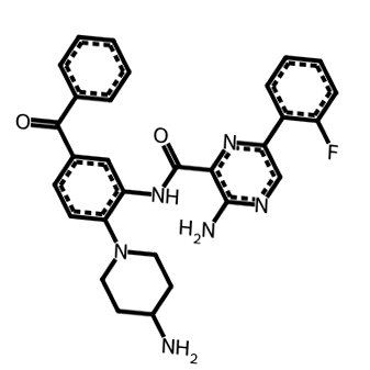 Nc1ncc(-c2ccccc2F)nc1C(=O)Nc1cc(C(=O)c2ccccc2)ccc1N1CCC(N)CC1